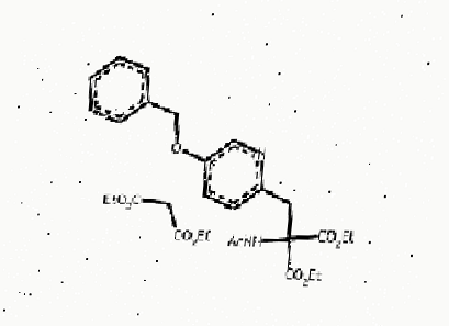 CCOC(=O)C(Cc1ccc(OCc2ccccc2)cn1)(NC(C)=O)C(=O)OCC.CCOC(=O)CC(=O)OCC